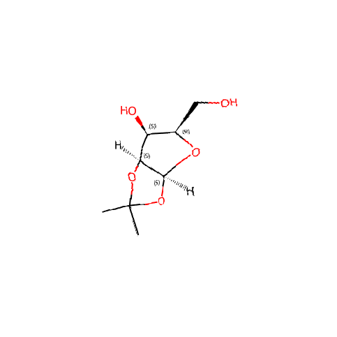 CC1(C)O[C@@H]2O[C@H](CO)[C@H](O)[C@@H]2O1